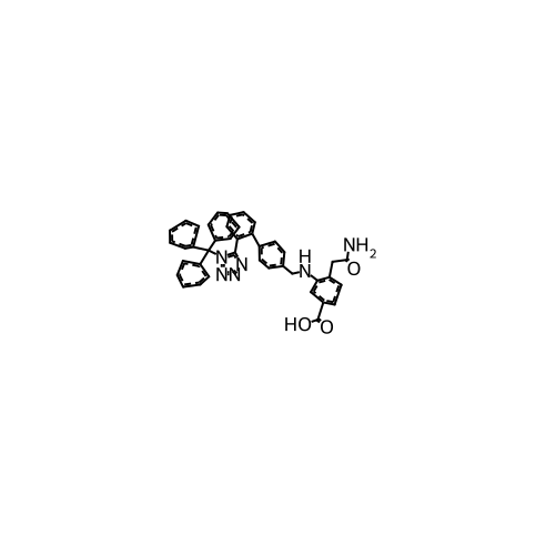 NC(=O)Cc1ccc(C(=O)O)cc1NCc1ccc(-c2ccccc2-c2nnnn2C(c2ccccc2)(c2ccccc2)c2ccccc2)cc1